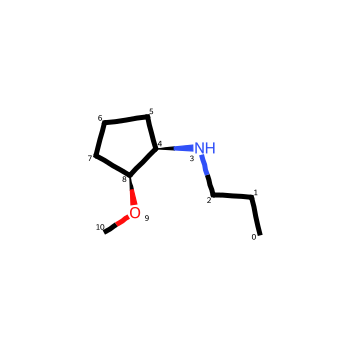 CCCN[C@@H]1CCC[C@@H]1OC